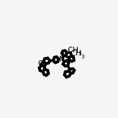 CC1(C)c2ccccc2-c2c(N(c3ccc(-c4ccc5oc6ccc7ccccc7c6c5c4)cc3)c3ccc(-c4cccc5ccccc45)cc3)cccc21